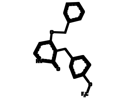 O=c1[nH]ccc(OCc2ccccc2)c1Cc1ccc(OC(F)(F)F)cc1